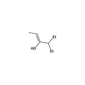 CC=C(O)C(CC)CC